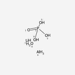 O.O=P(O)(O)O.[AlH3].[LiH]